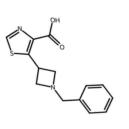 O=C(O)c1ncsc1C1CN(Cc2ccccc2)C1